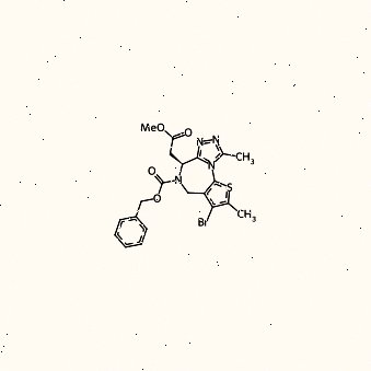 COC(=O)C[C@H]1c2nnc(C)n2-c2sc(C)c(Br)c2CN1C(=O)OCc1ccccc1